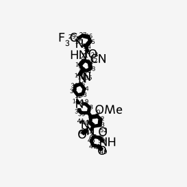 COc1ccc2c(c1C1CCN(C[C@H]3CC[C@H](n4cc5cc(NC(=O)c6cccc(C(F)(F)F)n6)c(C#N)cc5n4)CC3)CC1)n(C)c(=O)n2C1CCC(=O)NC1=O